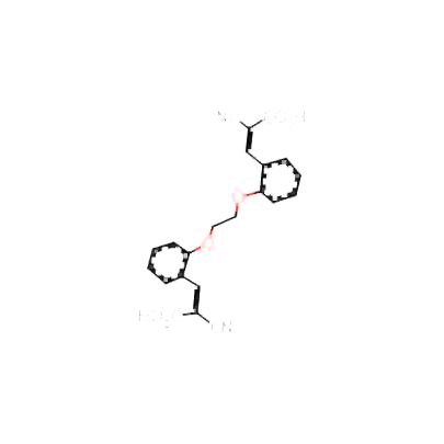 N#CC(=Cc1ccccc1OCCOc1ccccc1C=C(C#N)C(=O)O)C(=O)O